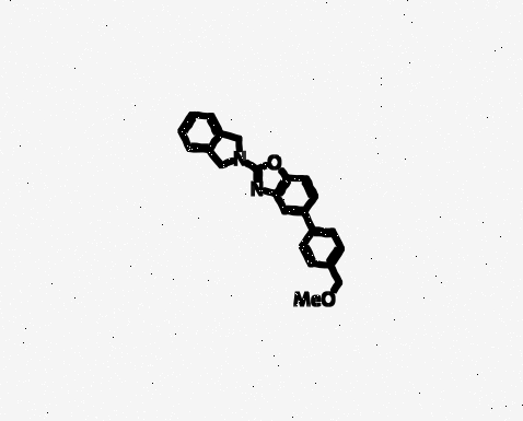 COCc1ccc(-c2ccc3oc(N4Cc5ccccc5C4)nc3c2)cc1